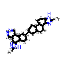 CC(C)c1nc2c3c(ccc2[nH]1)-c1ccc(-c2ccc4c(c2)c2cnncc2c2nc(C(C)C)[nH]c42)cc1CC3